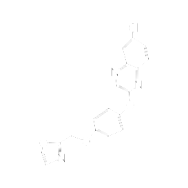 Clc1ccc2nc(Oc3ccc(OCc4ncco4)cc3)cnc2c1